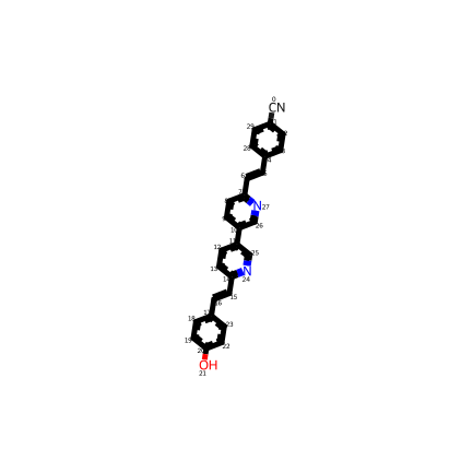 N#Cc1ccc(C=Cc2ccc(-c3ccc(C=Cc4ccc(O)cc4)nc3)cn2)cc1